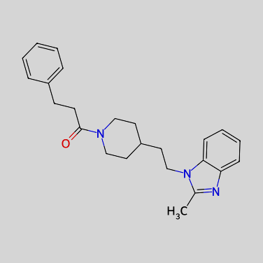 Cc1nc2ccccc2n1CCC1CCN(C(=O)CCc2ccccc2)CC1